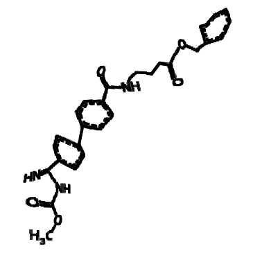 COC(=O)NC(=N)c1ccc(-c2ccc(C(=O)NCCCC(=O)OCc3ccccc3)cc2)cc1